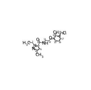 CCn1nc(C)cc1C(=O)NCCOc1cccc(CCl)c1C